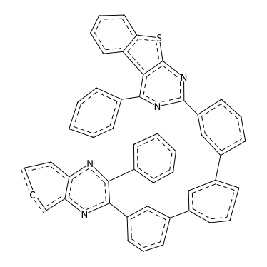 c1ccc(-c2nc3ccccc3nc2-c2cccc(-c3cccc(-c4cccc(-c5nc(-c6ccccc6)c6c(n5)sc5ccccc56)c4)c3)c2)cc1